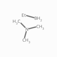 BCC.CN(C)C